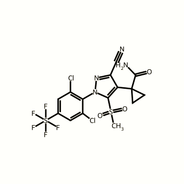 CS(=O)(=O)c1c(C2(C(N)=O)CC2)c(C#N)nn1-c1c(Cl)cc(S(F)(F)(F)(F)F)cc1Cl